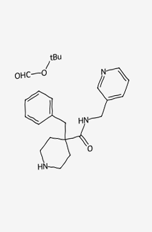 CC(C)(C)OC=O.O=C(NCc1cccnc1)C1(Cc2ccccc2)CCNCC1